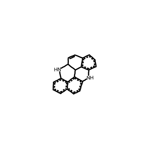 C1=CC2Nc3cccc4ccc5c(c34)C2c2c1cccc2N5